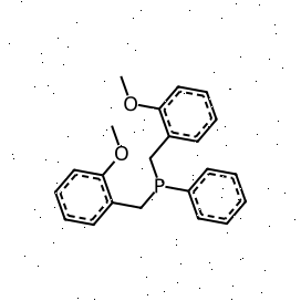 COc1ccccc1CP(Cc1ccccc1OC)c1ccccc1